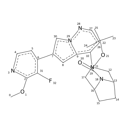 COc1nccc(-c2cc3c(N4CC5CCC(C4)N5C(=O)OC(C)(C)C)ccnn3c2)c1F